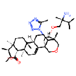 Cc1nnnn1[C@@H]1C[C@@]23COC[C@](C)([C@@H]2CC[C@H]2C3=CC[C@@]3(C)[C@H](C(=O)O)[C@@](C)([C@H](C)C(C)C)CC[C@]23C)[C@H]1OC[C@](C)(N)C(C)C